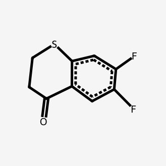 O=C1CCSc2cc(F)c(F)cc21